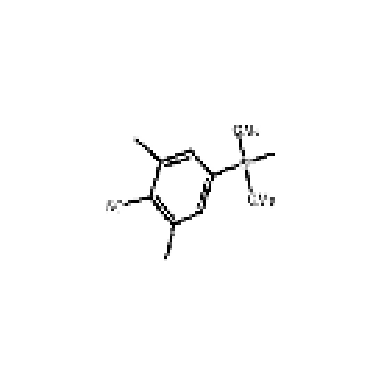 CO[Si](C)(OC)c1cc(C)c(C#N)c(C)c1